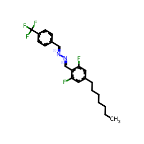 CCCCCCCc1cc(F)c(/C=N/N=C/c2ccc(C(F)(F)F)cc2)c(F)c1